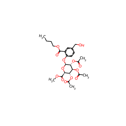 CCCCOC(=O)c1cc(CO)ccc1O[C@@H]1O[C@H](C(=O)OC)[C@@H](OC(C)=O)[C@H](OC(C)=O)[C@H]1OC(C)=O